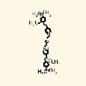 CCc1cc(N(C)C)ccc1/C=C/c1cc[n+](CCSSCC[n+]2ccc(/C=C/c3ccc(N(C)C)cc3OC)cc2)cc1